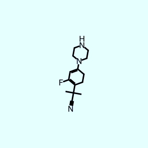 CC(C)(C#N)C1=C(F)C=C(N2CCNCC2)CC1